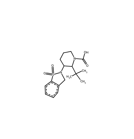 CC(C)(C)C1C(N2Cc3ccccc3S2(=O)=O)CCCN1C(=O)O